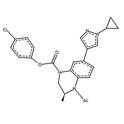 CC(=O)N1c2ccc(-c3cnn(C4CC4)c3)cc2N(C(=O)Oc2ccc(Cl)cc2)C[C@@H]1C